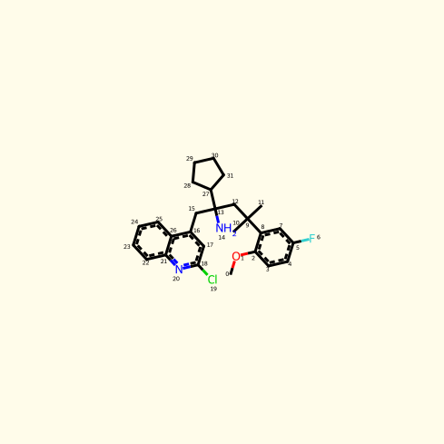 COc1ccc(F)cc1C(C)(C)CC(N)(Cc1cc(Cl)nc2ccccc12)C1CCCC1